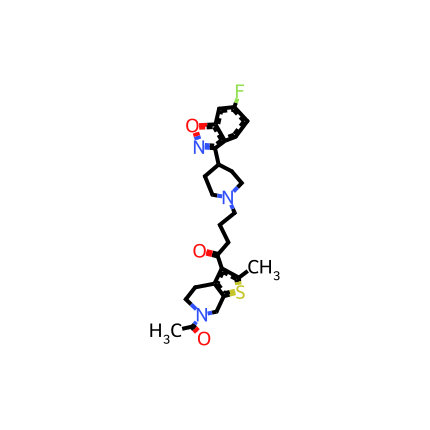 CC(=O)N1CCc2c(sc(C)c2C(=O)CCCN2CCC(c3noc4cc(F)ccc34)CC2)C1